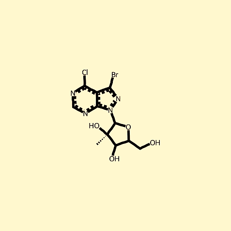 C[C@@]1(O)C(O)C(CO)OC1n1nc(Br)c2c(Cl)ncnc21